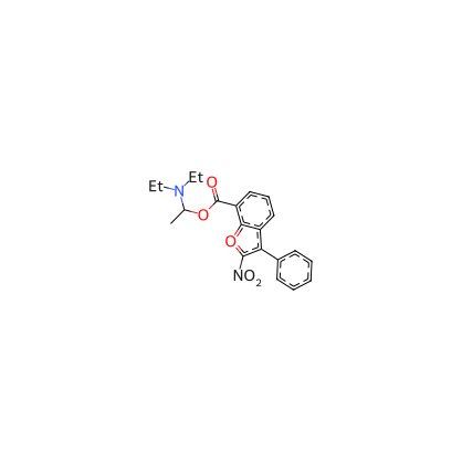 CCN(CC)C(C)OC(=O)c1cccc2c(-c3ccccc3)c([N+](=O)[O-])oc12